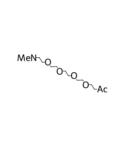 CNCCOCCOCCOCCOCCC(C)=O